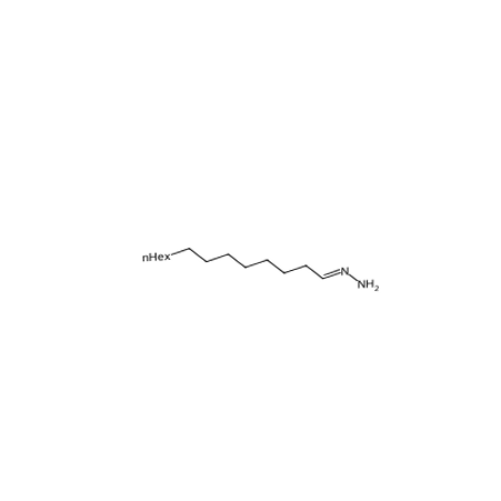 CCCCCCCCCCCCCC=NN